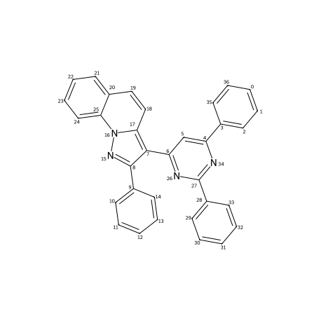 c1ccc(-c2cc(-c3c(-c4ccccc4)nn4c3ccc3ccccc34)nc(-c3ccccc3)n2)cc1